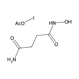 CC(=O)OI.NC(=O)CCC(=O)NO